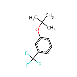 CC(C)(C)Oc1cc[c]c(C(F)(F)F)c1